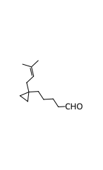 CC(C)=CCC1(CCCCC=O)CC1